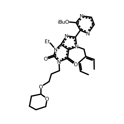 C/C=C\C(=C/C)Cn1c(-c2nccnc2OCC(C)C)nc2c1c(=O)n(CCCOC1CCCCO1)c(=O)n2CC